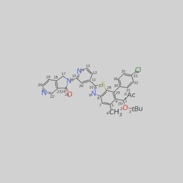 CC(=O)[C@@H](OC(C)(C)C)c1c(C)cc2nc(-c3ccnc(N4Cc5ccncc5C4=O)c3)sc2c1-c1ccc(Cl)cc1